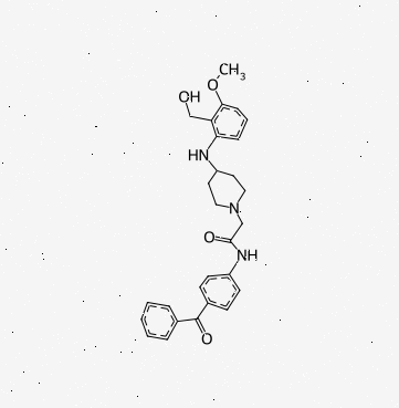 COc1cccc(NC2CCN(CC(=O)Nc3ccc(C(=O)c4ccccc4)cc3)CC2)c1CO